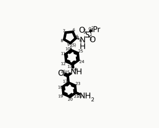 CC(C)S(=O)(=O)N[C@H]1CCC[C@H]1c1ccc(NC(=O)c2cccc(N)c2)cc1